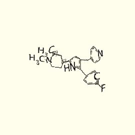 C[C@@H]1C[C@@H](c2cc(-c3ccncc3)c(-c3ccc(F)cc3)[nH]2)CCN1C